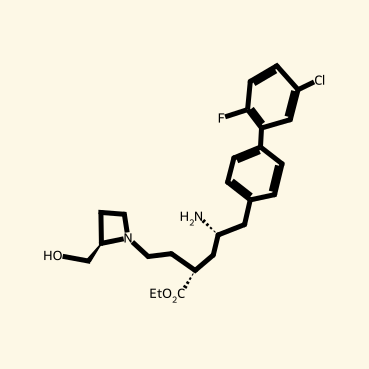 CCOC(=O)[C@H](CCN1CC[C@@H]1CO)C[C@H](N)Cc1ccc(-c2cc(Cl)ccc2F)cc1